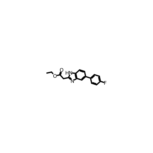 CCOC(=O)Cc1nc2cc(-c3ccc(F)cc3)ccc2[nH]1